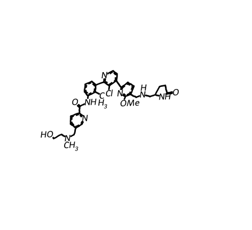 COc1nc(-c2ccnc(-c3cccc(NC(=O)c4ccc(CN(C)CCO)cn4)c3C)c2Cl)ccc1CNCC1CCC(=O)N1